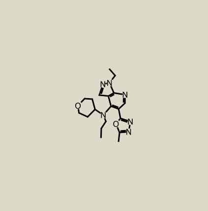 CCCN(c1c(-c2nnc(C)o2)cnc2c1cnn2CC)C1CCOCC1